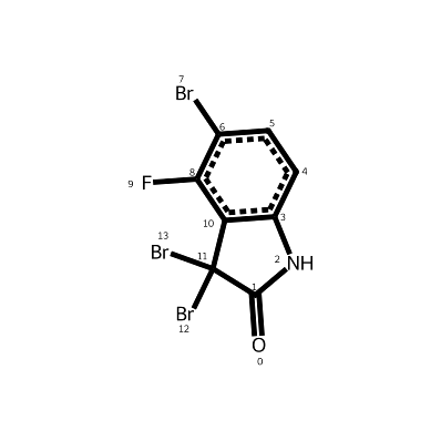 O=C1Nc2ccc(Br)c(F)c2C1(Br)Br